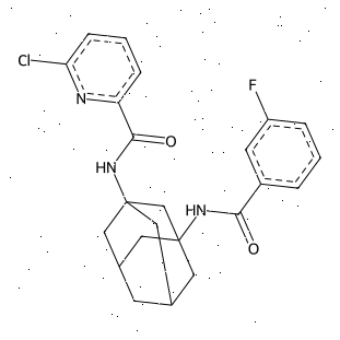 O=C(NC12CC3CC(C1)CC(NC(=O)c1cccc(Cl)n1)(C3)C2)c1cccc(F)c1